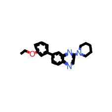 CCOc1cccc(-c2ccc3ncc(N4CCCCC4)nc3c2)c1